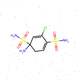 NC1(S(N)(=O)=O)C=C(Cl)C(S(N)(=O)=O)=CC1